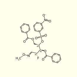 CON=C[C@@H](F)[C@H](OC(=O)c1ccccc1)[C@@H](COC(=O)c1ccccc1)OS(=O)(=O)c1cccc([N+](=O)[O-])c1